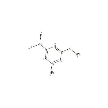 CC(C)Cc1cc(C(C)C)cc(C(F)F)n1